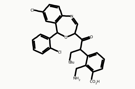 CC(C)(C)CC(C(=O)C1C=Nc2ccc(Cl)cc2C(c2ccccc2Cl)O1)c1cccc(C(=O)O)c1CN